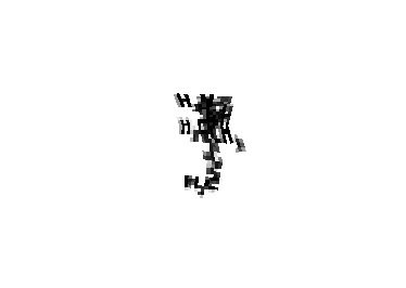 CCCCCCCC(C)(C)N1C[C@H]2CCC(N)[C@H]2C1